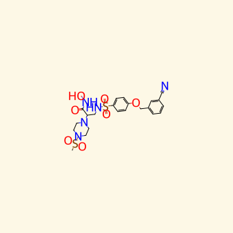 CS(=O)(=O)N1CCN(C(CNS(=O)(=O)c2ccc(OCc3cccc(C#N)c3)cc2)C(=O)NO)CC1